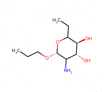 CCCO[C@@H]1OC(CC)[C@@H](O)[C@H](O)C1N